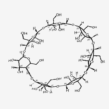 OCC1O[C@@H]2O[C@@H]3C(CO)O[C@H](O[C@@H]4C(CO)O[C@H](O[C@@H]5C(CO)O[C@H](O[C@@H]6C(CO)O[C@H](O[C@@H]7C(CO)O[C@H](O[C@@H]8C(CO)O[C@H](O[C@H]1[C@H](O)C2O)C(O)[C@H]8O)C(O)[C@H]7O)C(O)[C@H]6O)C(O)[C@H]5O)C(O)[C@H]4O)C(O)[C@H]3O